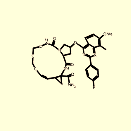 COc1ccc2c(OC3CC4C(=O)NC5(C(N)=O)CC5C=CCCCCCNC(=O)N4C3)nc(-c3ccc(F)cc3)nc2c1C